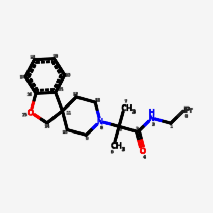 CC(C)CNC(=O)C(C)(C)N1CCC2(CC1)COc1ccccc12